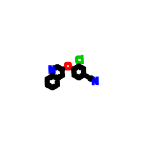 N#Cc1ccc(Oc2cnc3ccccc3c2)c(Cl)c1